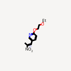 CCOCCOc1ccc(/C=C(\C)[N+](=O)[O-])cn1